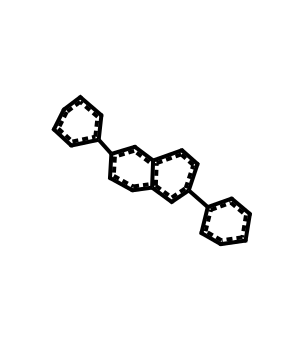 c1ccc(-c2ccc3cc(-c4ccccc4)ccc3c2)cc1